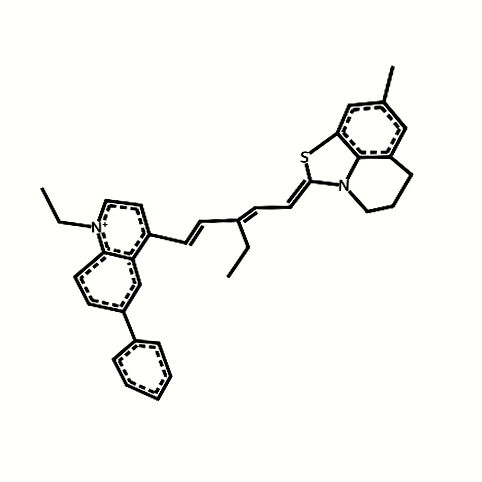 CCC(/C=C/c1cc[n+](CC)c2ccc(-c3ccccc3)cc12)=C\C=C1/Sc2cc(C)cc3c2N1CCC3